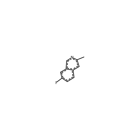 Cc1cc2ccc(I)cc2cn1